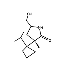 CC(C)C1([C@]2(C)CC(CO)NC2=O)CCC1